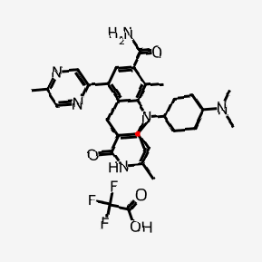 CCN(c1c(C)c(C(N)=O)cc(-c2cnc(C)cn2)c1Cc1c(C)cc(C)[nH]c1=O)C1CCC(N(C)C)CC1.O=C(O)C(F)(F)F